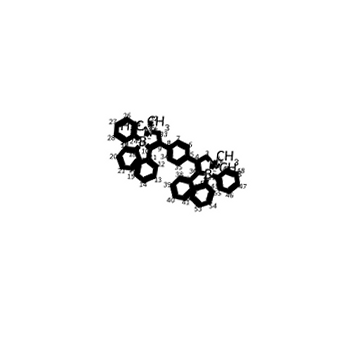 C[N+]1(C)CC(c2ccc(C3=C(c4ccccc4)[B-](c4ccccc4)(c4ccccc4)[N+](C)(C)C3)cc2)=C(c2ccccc2)[B-]1(c1ccccc1)c1ccccc1